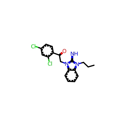 CCCn1c(=N)n(CC(=O)c2ccc(Cl)cc2Cl)c2ccccc21